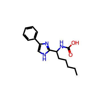 CCCCCC(NC(=O)O)c1nc(-c2ccccc2)c[nH]1